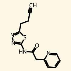 C#CCCc1nnc(NC(=O)Cc2ccccn2)s1